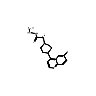 C[C@@H](C(=O)NNC(=O)O)C1CCC(c2ccnc3ccc(F)cc23)CC1